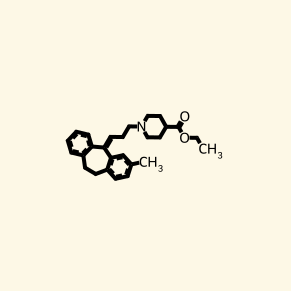 CCOC(=O)C1CCN(CCC=C2c3ccccc3CCc3ccc(C)cc32)CC1